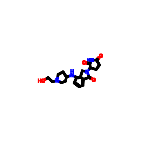 O=C1CCC(N2Cc3c(NC4CCN(CCO)CC4)cccc3C2=O)C(=O)N1